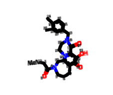 CNCC(=O)N1CCCc2c(n3c(c(O)c2=O)C(=O)N(Cc2ccc(C)c(C)c2)CC3)C1